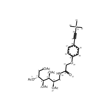 CC(=O)OC[C@@H](OC(C)=O)[C@H](OC(C)=O)[C@@H](OC(C)=O)[C@@H](CNC(=O)COc1ccc(C#C[Si](C)(C)C)cc1)OC(C)=O